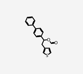 O=COC(Cc1ccsc1)c1ccc(-c2ccccc2)cc1